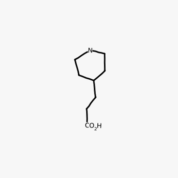 O=C(O)CCC1CC[N]CC1